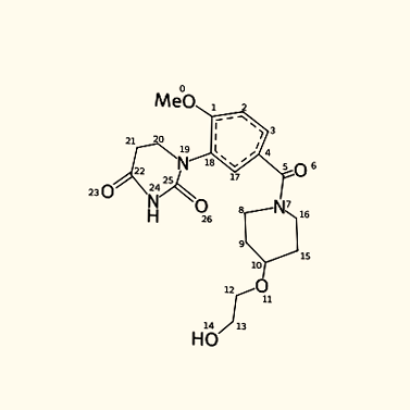 COc1ccc(C(=O)N2CCC(OCCO)CC2)cc1N1CCC(=O)NC1=O